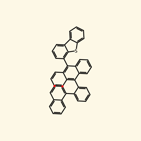 c1ccc(-c2c3ccccc3c(-c3cccc4c3sc3ccccc34)c3ccccc23)c(-c2cccc3ccccc23)c1